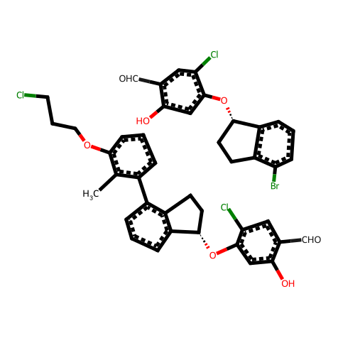 Cc1c(OCCCCl)cccc1-c1cccc2c1CC[C@@H]2Oc1cc(O)c(C=O)cc1Cl.O=Cc1cc(Cl)c(O[C@H]2CCc3c(Br)cccc32)cc1O